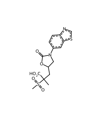 CC(CC1CN(c2ccc3ncsc3c2)C(=O)O1)(C(=O)O)S(C)(=O)=O